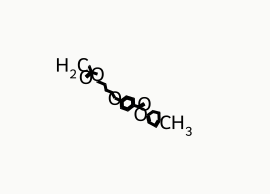 C=CC(=O)OCCCCOc1ccc(C(=O)OC2=CC=C(C)CC2)cc1